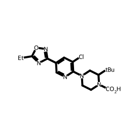 CCc1nc(-c2cnc(N3CCN(C(=O)O)C(C(C)(C)C)C3)c(Cl)c2)no1